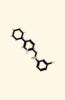 Fc1cccc(NCc2ccc(C3CCCCC3)cn2)c1